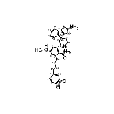 CN(C(=O)c1ccccc1CCCCc1ccc(Cl)c(Cl)c1)N1CCC(c2ccccc2)(c2csc(N)n2)CC1.Cl.Cl